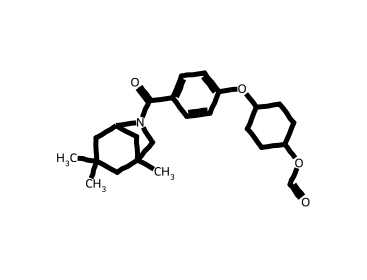 CC1(C)CC2CC(C)(CN2C(=O)c2ccc(OC3CCC(OC=O)CC3)cc2)C1